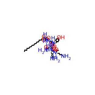 CCCCCCCCCCCCCCCCS(=O)(=O)NCC(=O)NCC(=O)N[C@@H](Cc1ccc(O)cc1)C(=O)N[C@@H](CCC(N)=O)C(=O)N[C@@H](CCCCN)C(=O)N[C@@H](CCCCN)C(C)=O